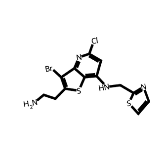 NCCc1sc2c(NCc3nccs3)cc(Cl)nc2c1Br